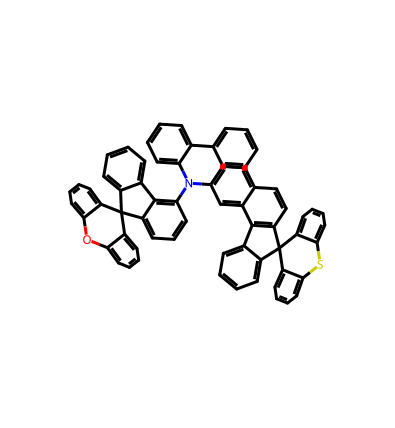 c1ccc(-c2ccccc2N(c2ccc3ccc4c(c3c2)-c2ccccc2C42c3ccccc3Sc3ccccc32)c2cccc3c2-c2ccccc2C32c3ccccc3Oc3ccccc32)cc1